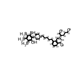 Bc1c(B)c(B)c(N2CCN(CCCCCc3cccc(C=O)c3CN(C)C(C=O)CCC=O)CC2)c(O)c1B